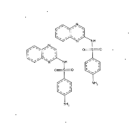 Nc1ccc(S(=O)(=O)Nc2cnc3ccccc3n2)cc1.Nc1ccc(S(=O)(=O)Nc2cnc3ccccc3n2)cc1